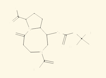 CC(C)(C)OC(=O)NC1CN(C(=O)O)CCC(=O)N2C(C(=O)O)CCC12